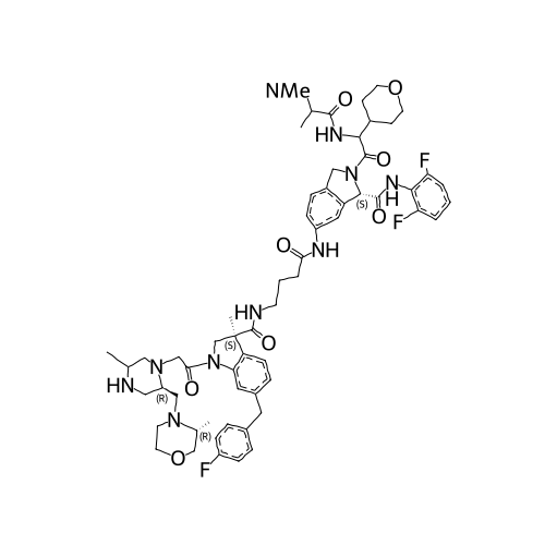 CNC(C)C(=O)NC(C(=O)N1Cc2ccc(NC(=O)CCCNC(=O)[C@]3(C)CN(C(=O)CN4CC(C)NC[C@@H]4CN4CCOC[C@H]4C)c4cc(Cc5ccc(F)cc5)ccc43)cc2[C@H]1C(=O)Nc1c(F)cccc1F)C1CCOCC1